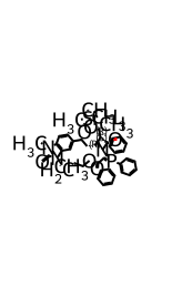 C=CCOC(=O)C(N1C(=O)[C@H]([C@@H](C)O[Si](C)(C)C)[C@H]1CC(=O)c1ccc2c(c1)n(C)c(=O)n2C)=P(c1ccccc1)(c1ccccc1)c1ccccc1